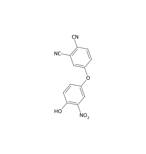 N#Cc1ccc(Oc2ccc(O)c([N+](=O)[O-])c2)cc1C#N